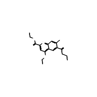 CCCC(=O)c1cc2c(OCC)cc(C(=O)OCC)nc2cc1C